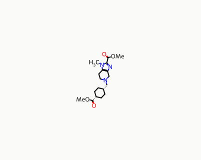 COC(=O)c1nc2c(n1C)CCN(C[C@H]1CC[C@@H](C(=O)OC)CC1)C2